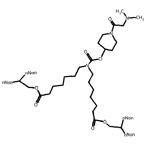 CCCCCCCCCC(CCCCCCCCC)COC(=O)CCCCCCN(CCCCCCC(=O)OCC(CCCCCCCCC)CCCCCCCCC)C(=O)OC1CCN(C(=O)CN(C)C)CC1